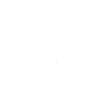 CCOC(=O)c1cn(-c2cccc(-c3c(F)cccc3OC)c2)cn1